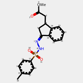 COC(=O)CC1C/C(=N/NS(=O)(=O)c2ccc(C)cc2)c2ccccc21